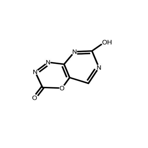 O=c1nnc2nc(O)ncc2o1